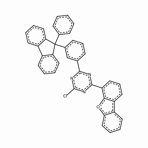 Clc1nc(-c2cccc(C3(c4ccccc4)c4ccccc4-c4ccccc43)c2)nc(-c2cccc3c2oc2ccccc23)n1